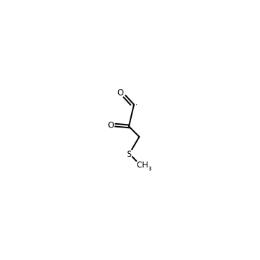 CSCC(=O)[C]=O